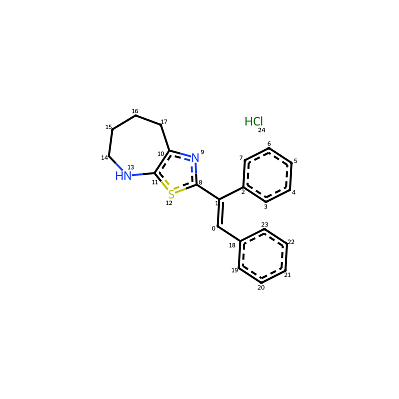 C(=C(c1ccccc1)c1nc2c(s1)NCCCC2)c1ccccc1.Cl